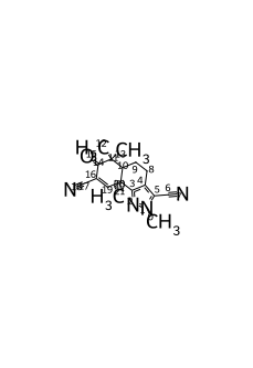 Cn1nc2c(c1C#N)CCC1C(C)(C)C(=O)C(C#N)=C[C@]21C